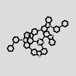 c1ccc(-c2cccc(-n3c4ccccc4c4cc(-c5ccc6oc7cccc(-c8nc(-c9cccc%10oc%11ccccc%11c9%10)nc(-c9cccc%10oc%11ccc(-c%12ccc%13c(c%12)c%12ccccc%12n%13-c%12cccc(-c%13ccccc%13)c%12)cc%11c9%10)n8)c7c6c5)ccc43)c2)cc1